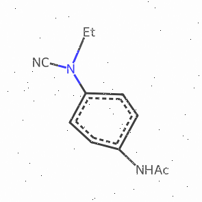 CCN(C#N)c1ccc(NC(C)=O)cc1